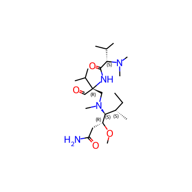 CC[C@H](C)[C@@H]([C@@H](CC(N)=O)OC)N(C)C[C@](C=O)(NC(=O)[C@H](C(C)C)N(C)C)C(C)C